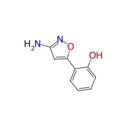 Nc1cc(-c2ccccc2O)on1